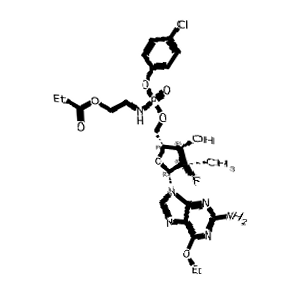 CCOc1nc(N)nc2c1ncn2[C@@H]1O[C@H](COP(=O)(NCCOC(=O)CC)Oc2ccc(Cl)cc2)[C@@H](O)[C@@]1(C)F